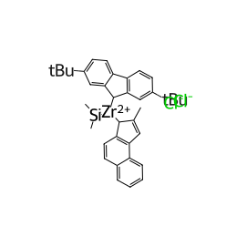 CC1=Cc2c(ccc3ccccc23)[CH]1[Zr+2]([CH]1c2cc(C(C)(C)C)ccc2-c2ccc(C(C)(C)C)cc21)=[Si](C)C.[Cl-].[Cl-]